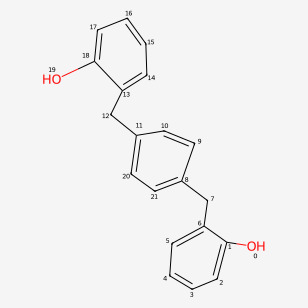 Oc1ccccc1Cc1ccc(Cc2ccccc2O)cc1